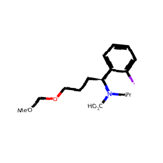 COCOCCC[C@@H](c1ccccc1I)N(C(=O)O)C(C)C